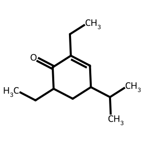 CCC1=CC(C(C)C)CC(CC)C1=O